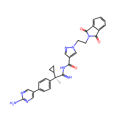 C[C@](C(=N)NC(=O)c1cnn(CCN2C(=O)c3ccccc3C2=O)c1)(c1ccc(-c2cnc(N)nc2)cc1)C1CC1